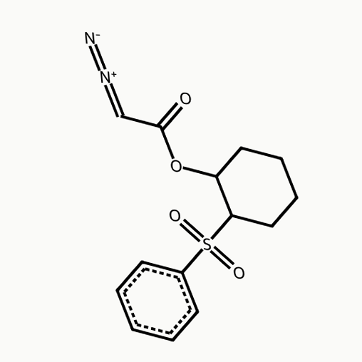 [N-]=[N+]=CC(=O)OC1CCCCC1S(=O)(=O)c1ccccc1